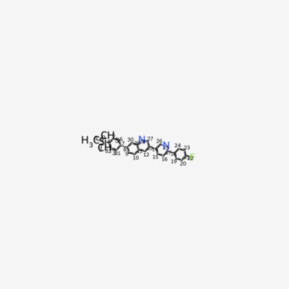 C[Si](C)(C)c1ccc(-c2ccc3cc(-c4ccc(-c5ccc(F)cc5)nc4)cnc3c2)cc1